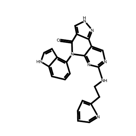 O=c1c2c[nH]nc2c2cnc(NCCc3ccccn3)nc2n1-c1cccc2[nH]ccc12